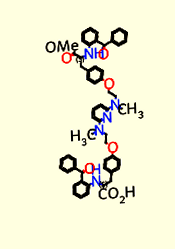 COC(=O)[C@H](Cc1ccc(OCCN(C)c2cccc(N(C)CCOc3ccc(C[C@H](Nc4ccccc4C(=O)c4ccccc4)C(=O)O)cc3)n2)cc1)Nc1ccccc1C(=O)c1ccccc1